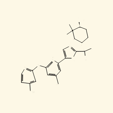 COc1ccnc(Nc2cc(C)cc(-c3cnc(C(C)(O)[C@H]4CC[C@H](C(=O)O)C(C)(C)C4)s3)n2)c1